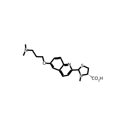 CN(C)CCCOc1ccc2nc(C3SC[C@H](C(=O)O)N3C)ccc2c1